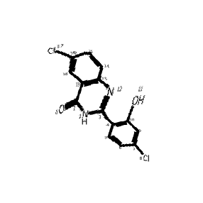 O=c1[nH]c(-c2ccc(Cl)cc2O)nc2ccc(Cl)cc12